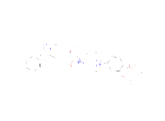 CC1NC(c2ccccc2)=CC1C(=O)C(=O)N1CCN(c2ccc3c(c2)OCCO3)CC1